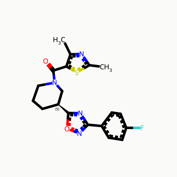 Cc1nc(C)c(C(=O)N2CCC[C@H](c3nc(-c4ccc(F)cc4)no3)C2)s1